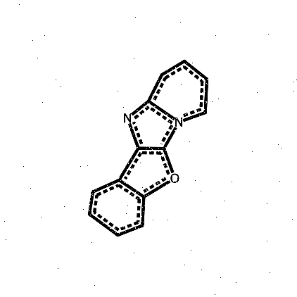 c1ccc2c(c1)oc1c2nc2ccccn21